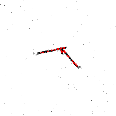 CCCCCC(CSCCSCCSCCSCCSCCSCCCCCCCCCCCC[SiH3])C(SCCSCCSCCSCCSCCSCCCCCCCCCCCC[SiH3])C(C)(O)CCCCC